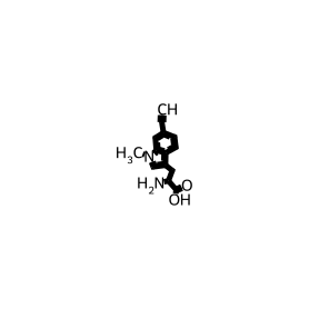 C#Cc1ccc2c(CC(N)C(=O)O)cn(C)c2c1